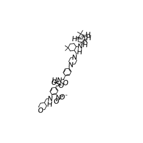 C[C@H]1[C@@H](NC2CCC(C)(C)CC2CN2CCN(c3ccc(C(=O)NS(=O)(=O)c4ccc(NCC5CCOCC5)c([N+](=O)[O-])c4)cc3)CC2)C[C@H]2C[C@H]1C2(C)C